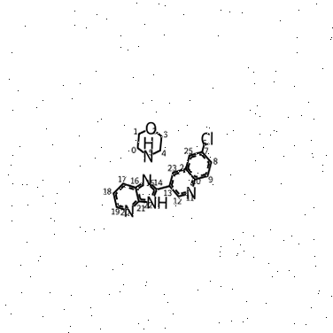 C1COCCN1.Clc1ccc2ncc(-c3nc4cccnc4[nH]3)cc2c1